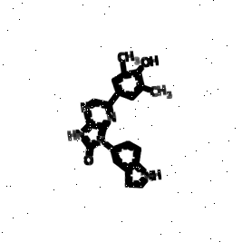 Cc1cc(-c2cnc3[nH]c(=O)n(-c4ccc5[nH]ccc5c4)c3n2)cc(C)c1O